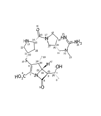 C[C@@H](O)[C@H]1C(=O)N2C(C(=O)O)=C(S[C@@H]3CN[C@H](C(=O)N4CC[C@H](CN(C)C(=N)N)C4)C3)[C@H](C)[C@H]12